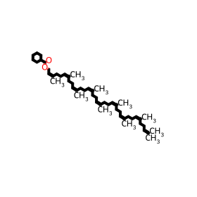 CC(C)=CCCC(C)=CCCC(C)=CCCC(C)=CCCC(C)=CCCC(C)=CCCC(C)=CCCC(C)=CCCC(C)=CCOC(=O)C1CCCCC1